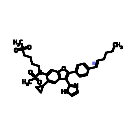 CCCC/C=C/c1ccc(-c2oc3cc(N(CCCCS(C)(=O)=O)S(C)(=O)=O)c(C4CC4)cc3c2-c2ncc[nH]2)cc1